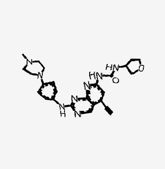 C#Cc1cc(NC(=O)NC2CCOC2)nc2nc(Nc3ccc(N4CCN(C)CC4)cc3)ncc12